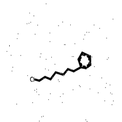 ClCCCCCCCc1ccccc1